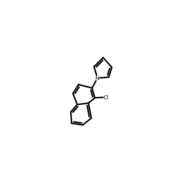 Clc1c(-n2cccc2)ccc2ccccc12